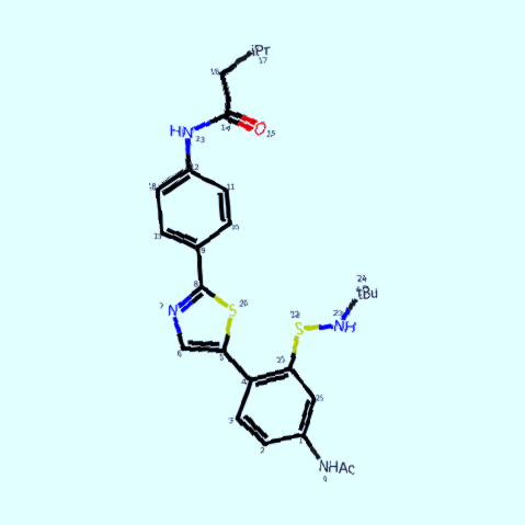 CC(=O)Nc1ccc(-c2cnc(-c3ccc(NC(=O)CC(C)C)cc3)s2)c(SNC(C)(C)C)c1